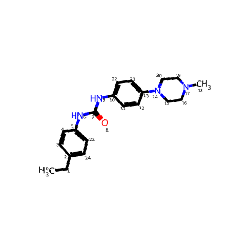 CCc1ccc(NC(=O)Nc2ccc(N3CCN(C)CC3)cc2)cc1